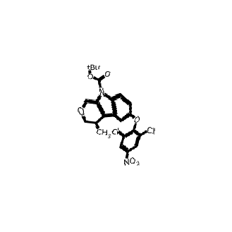 CC1COCc2c1c1cc(Oc3c(Cl)cc([N+](=O)[O-])cc3Cl)ccc1n2C(=O)OC(C)(C)C